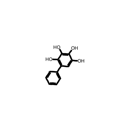 Oc1[c]c(-c2[c]cccc2)c(O)c(O)c1O